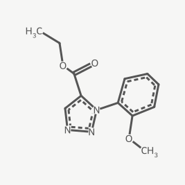 CCOC(=O)c1cnnn1-c1ccccc1OC